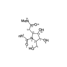 CCCC(=O)N1C(CO)C(O)C(O)C1CC(=O)NC